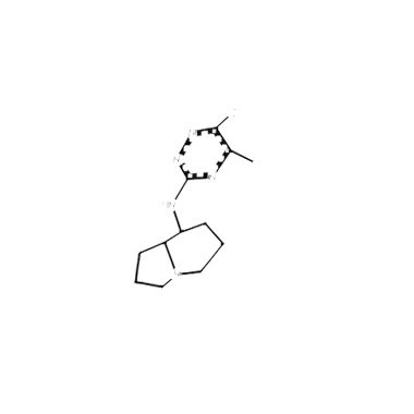 Cc1nc(NC2CCCN3CCCC23)nnc1Cl